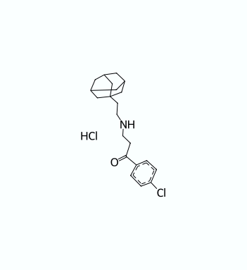 Cl.O=C(CCNCCC12CC3CC(CC(C3)C1)C2)c1ccc(Cl)cc1